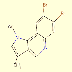 CC(=O)n1cc(C)c2cnc3cc(Br)c(Br)cc3c21